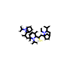 CCN1C(C(C)C)CC2CCC1(CC(S)C1C(C)C=CC(C)(CC(C)C3C4CCC(C4)N3C(C)C)N1C(C)C)C2